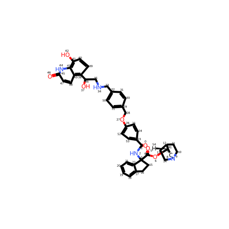 O=C(NC1(C(=O)O[C@H]2CN3CCC2CC3)CCc2ccccc21)c1ccc(OCc2ccc(CNCC(O)c3ccc(O)c4[nH]c(=O)ccc34)cc2)cc1